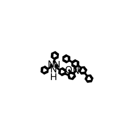 c1ccc(C2=NC(c3ccccc3)NC(c3ccc4c(c3)oc3c(-n5c6cc(-c7ccccc7)ccc6c6ccc(-c7ccccc7)cc65)cccc34)=N2)cc1